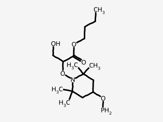 CCCCOC(=O)C(CO)ON1C(C)(C)CC(OP)CC1(C)C